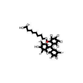 O=C(O)CCCCCCCOC(=O)c1c(Cl)c(Cl)c(Cl)c(Cl)c1-c1c2cc(I)c(=O)c(I)c-2oc2c(I)c(O)c(I)cc12